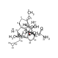 CO[C@]12CC[C@@]3(C[C@@H]1C(C)(O)C(C)(C)C)[C@H]1Cc4ccc(C(N)=O)c5c4[C@@]3(CC[N@+]1(C)CC1CC1)[C@H]2O5